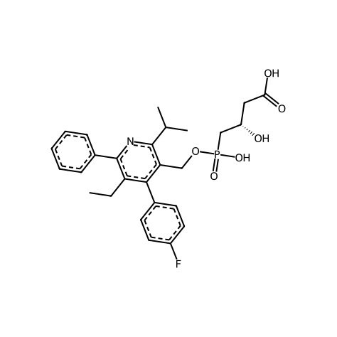 CCc1c(-c2ccccc2)nc(C(C)C)c(COP(=O)(O)C[C@@H](O)CC(=O)O)c1-c1ccc(F)cc1